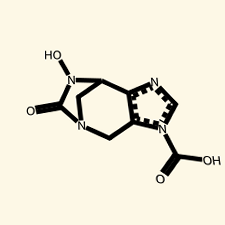 O=C1N2Cc3c(ncn3C(=O)O)C(C2)N1O